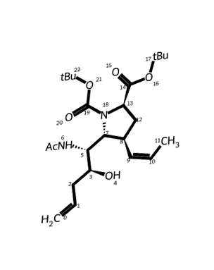 C=CC[C@H](O)[C@H](NC(C)=O)[C@H]1[C@H](/C=C\C)C[C@H](C(=O)OC(C)(C)C)N1C(=O)OC(C)(C)C